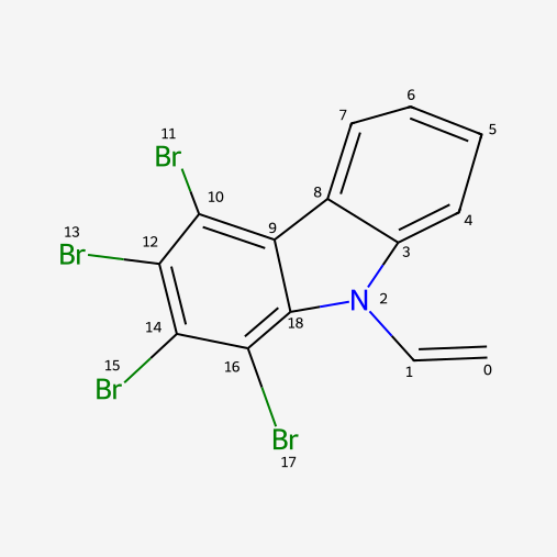 C=Cn1c2ccccc2c2c(Br)c(Br)c(Br)c(Br)c21